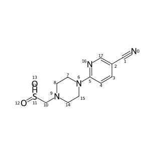 N#Cc1ccc(N2CCN(C[SH](=O)=O)CC2)nc1